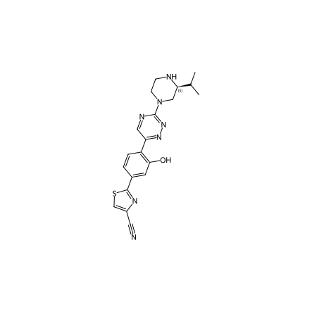 CC(C)[C@H]1CN(c2ncc(-c3ccc(-c4nc(C#N)cs4)cc3O)nn2)CCN1